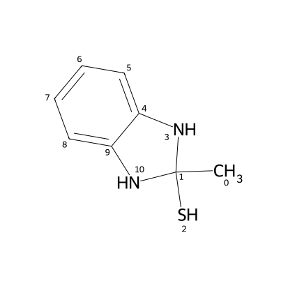 CC1(S)Nc2ccccc2N1